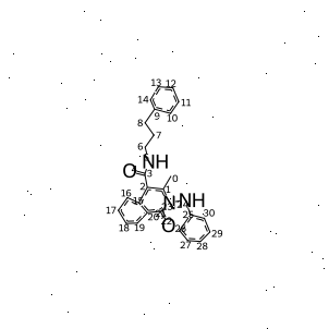 Cc1c(C(=O)NCCCc2ccccc2)c2ccccc2c(=O)n1Nc1ccccc1